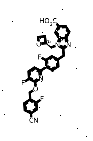 N#Cc1ccc(COc2nc(-c3ccc(Cc4nc5ccc(C(=O)O)cc5n4C[C@@H]4CCO4)cc3F)ccc2F)c(F)c1